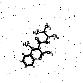 CC(=O)/C(C(=O)N[C@@H](C)C(C)C)=C(/C)c1ccccc1